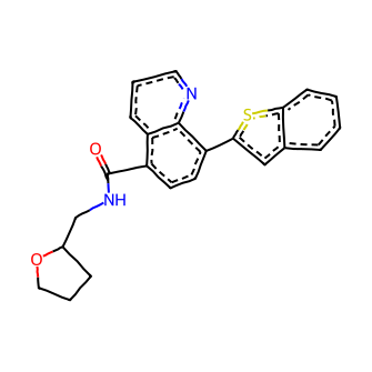 O=C(NCC1CCCO1)c1ccc(-c2cc3ccccc3s2)c2ncccc12